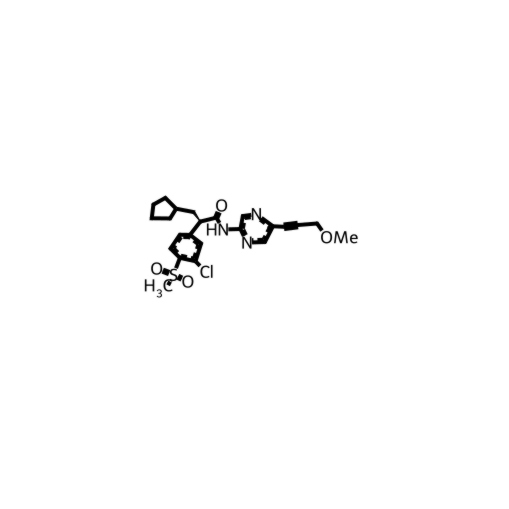 COCC#Cc1cnc(NC(=O)[C@H](CC2CCCC2)c2ccc(S(C)(=O)=O)c(Cl)c2)cn1